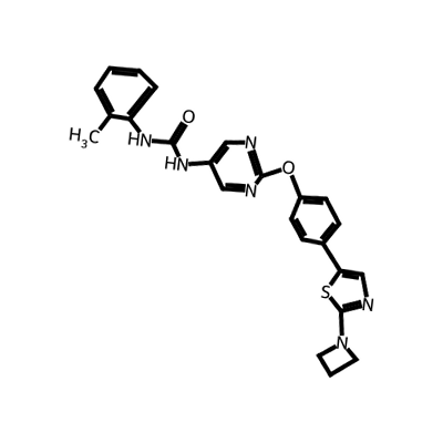 Cc1ccccc1NC(=O)Nc1cnc(Oc2ccc(-c3cnc(N4CCC4)s3)cc2)nc1